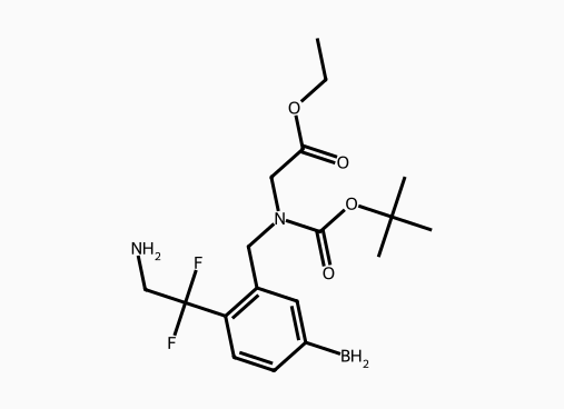 Bc1ccc(C(F)(F)CN)c(CN(CC(=O)OCC)C(=O)OC(C)(C)C)c1